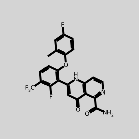 Cc1cc(F)ccc1Oc1ccc(C(F)(F)F)c(F)c1-c1cc(=O)c2c(C(N)=O)nccc2[nH]1